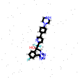 O[C@@]1(C(F)(F)c2ccc(-c3ccc(N4CCNCC4)cc3)cn2)Cn2nnnc2-c2cc(F)ccc21